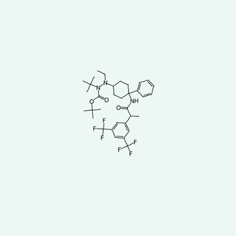 CCN(C1CCC(NC(=O)C(C)c2cc(C(F)(F)F)cc(C(F)(F)F)c2)(c2ccccc2)CC1)N(C(=O)OC(C)(C)C)C(C)(C)C